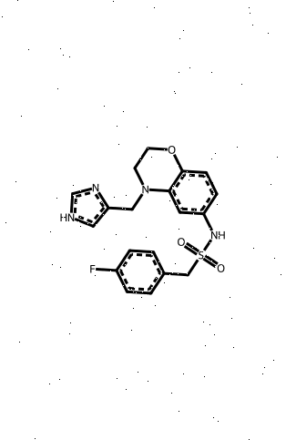 O=S(=O)(Cc1ccc(F)cc1)Nc1ccc2c(c1)N(Cc1c[nH]cn1)CCO2